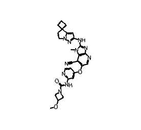 COC1CN(C(=O)Nc2cc(Oc3cnc4nc(Nc5cc6n(n5)CCC65CCC5)n(C)c4c3C#N)ccn2)C1